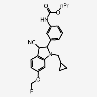 CCCOC(=O)Nc1cccc(C2C(C#N)c3ccc(OCF)cc3N2CC2CC2)c1